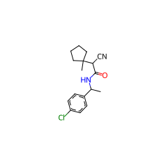 CC(NC(=O)C(C#N)C1(C)CCCC1)c1ccc(Cl)cc1